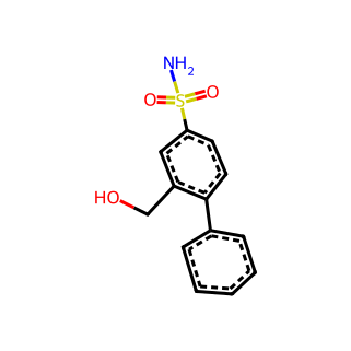 NS(=O)(=O)c1ccc(-c2ccccc2)c(CO)c1